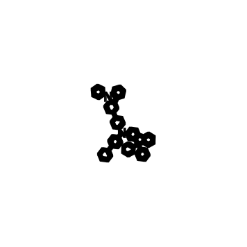 C1=CCCC(c2ccc(N(C3=CC=C(C4C=Cc5c(c6ccccc6n5-c5ccccc5)C4)CC3)c3ccc4c(c3)C(C3=CCCC=C3)(c3ccccc3)c3ccccc3-4)cc2)=C1